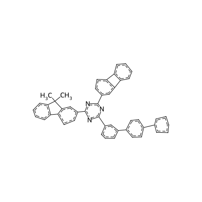 CC1(C)c2ccccc2-c2ccc(-c3nc(-c4cccc(-c5ccc(-c6ccccc6)cc5)c4)nc(-c4ccc5c(c4)-c4ccccc4-5)n3)cc21